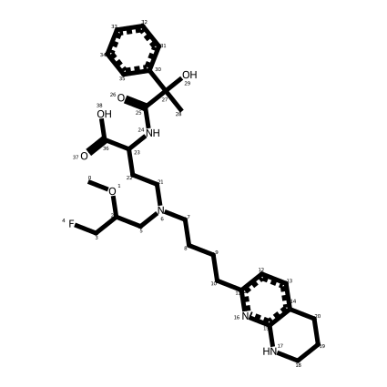 COC(CF)CN(CCCCc1ccc2c(n1)NCCC2)CCC(NC(=O)C(C)(O)c1ccccc1)C(=O)O